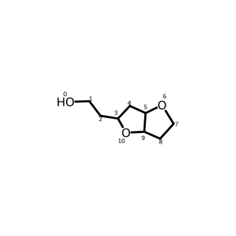 OCCC1CC2OCCC2O1